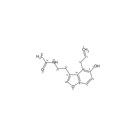 C=CCc1c(O)ccc2occ(CCNC(C)=O)c12